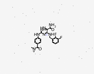 CN(C)C(=O)c1ccc(NC(=N)/N=C(/NCc2cccc(F)c2F)C(=N)C(N)=O)cc1